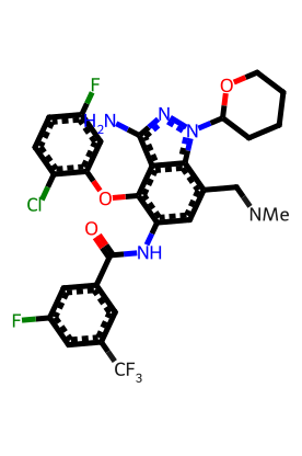 CNCc1cc(NC(=O)c2cc(F)cc(C(F)(F)F)c2)c(Oc2cc(F)ccc2Cl)c2c(N)nn(C3CCCCO3)c12